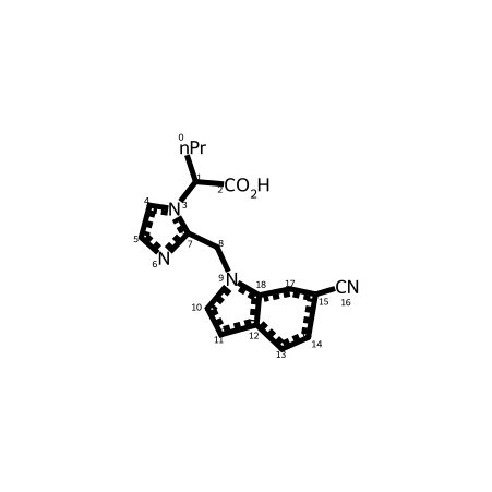 CCCC(C(=O)O)n1ccnc1Cn1ccc2ccc(C#N)cc21